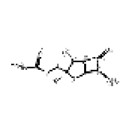 CC(=O)NC(=O)OC[C@]1(C)SC2[C@H](N)C(=O)N2[C@H]1C(=O)O